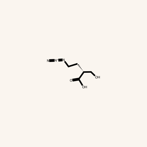 [N-]=[N+]=NCC[C@H](CO)C(=O)O